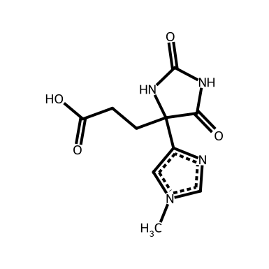 Cn1cnc(C2(CCC(=O)O)NC(=O)NC2=O)c1